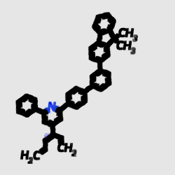 C=C/C=C(\C=C)c1cc(-c2ccccc2)nc(-c2ccc(-c3cccc(-c4ccc5c(c4)C(C)(C)c4ccccc4-5)c3)cc2)c1